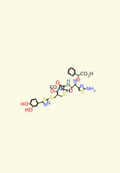 Nc1nc(C(=NOC(C(=O)O)c2ccccc2)C(=O)N[C@@H]2C(=O)N3C(OC(=O)O)=C(CSc4nnc(-c5ccc(O)c(O)c5)s4)CS[C@@H]23)cs1